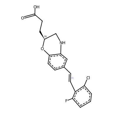 O=C(O)CC[C@H]1CNc2cc(/C=C/c3c(F)cccc3Cl)ccc2O1